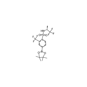 C[C@H](NS(=O)(=O)c1ccc(B2OC(C)(C)C(C)(C)O2)cc1C(F)(F)F)C(F)(F)F